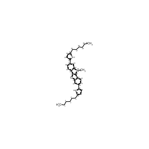 CCCCCCc1ccc(-c2ccc3c(c2)oc2c4ccc(-c5ccc(CCCCCC)s5)cc4n(C)c32)s1